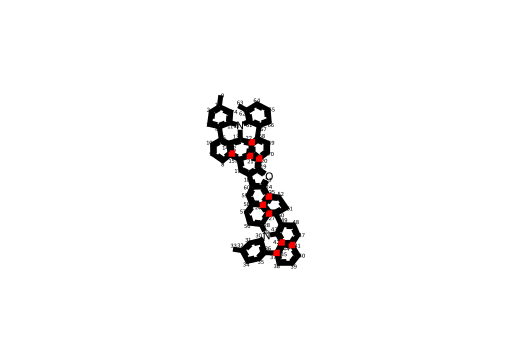 Cc1ccc(-c2ccccc2)c(N(c2ccc3cc4c(cc3c2)oc2cc3cc(N(c5cc(C)ccc5-c5ccccc5)c5c(C)cccc5-c5ccccc5)ccc3cc24)c2c(C)cccc2-c2ccccc2)c1